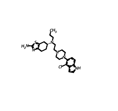 CCCN(CCN1CCN(c2ccc3[nH]ccc3c2Cl)CC1)[C@@H]1CCc2nc(N)sc2C1